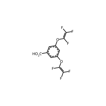 O=C(O)c1cc(OC(F)=C(F)F)cc(OC(F)=C(F)F)c1